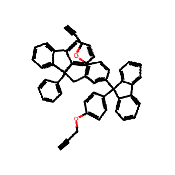 C#CCOc1ccc(C2(c3ccc(OCC#C)c(CC4(c5ccccc5)c5ccccc5-c5ccccc54)c3)c3ccccc3-c3ccccc32)cc1